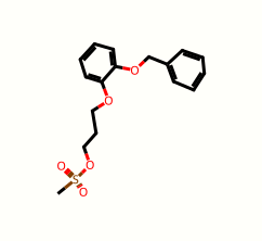 CS(=O)(=O)OCCCOc1ccccc1OCc1ccccc1